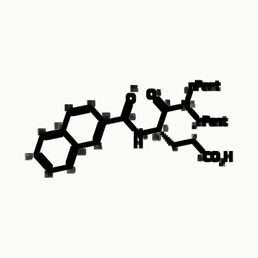 CCCCCN(CCCCC)C(=O)[C@H](CCC(=O)O)NC(=O)c1ccc2ccccc2c1